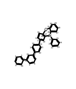 c1ccc(-c2cccc(-c3ccc(-c4ccc5c(c4)N(c4ccccc4)c4ccccc4O5)cc3)c2)cc1